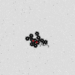 CC1(C)c2ccccc2-c2ccc(N(c3ccc(-c4ccccc4)cc3)c3ccc(-c4cccc5c6cccc(-c7ccc8c9ccccc9n(-c9ccccc9)c8c7)c6n(-c6ccccc6)c45)cc3)cc21